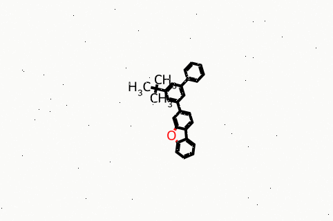 CC(C)(C)c1cc(-c2ccccc2)cc(-c2ccc3c(c2)oc2ccccc23)c1